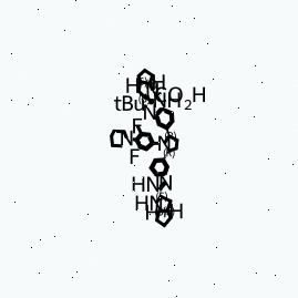 CC(C)(C)[C@]1(c2nc3cc([C@H]4CC[C@H](c5ccc6[nH]c([C@@H]7C[C@@H]8CCC[C@@H]8N7)nc6c5)N4c4cc(F)c(N5CCCCC5)c(F)c4)ccc3[nH]2)C[C@@H]2CCC[C@@H]2N1C(=O)O